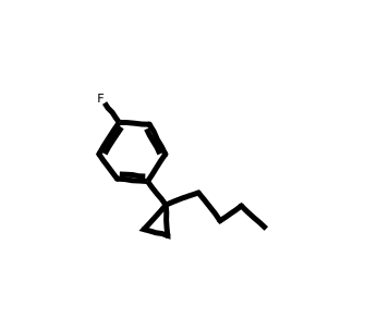 CCCCC1(c2ccc(F)cc2)CC1